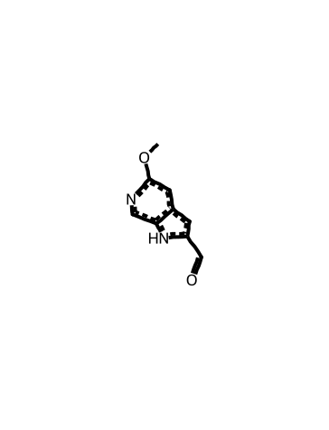 COc1cc2cc(C=O)[nH]c2cn1